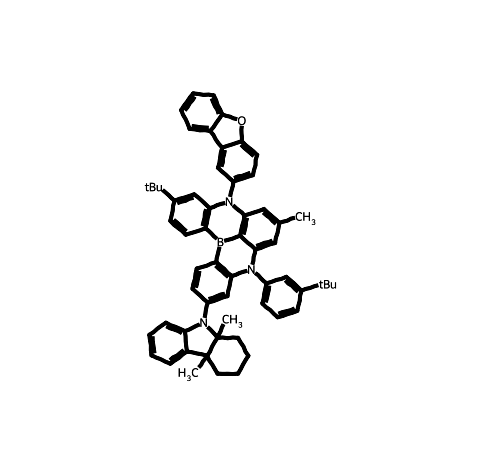 Cc1cc2c3c(c1)N(c1ccc4oc5ccccc5c4c1)c1cc(C(C)(C)C)ccc1B3c1ccc(N3c4ccccc4C4(C)CCCCC34C)cc1N2c1cccc(C(C)(C)C)c1